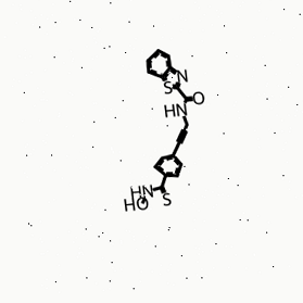 O=C(NCC#Cc1ccc(C(=S)NO)cc1)c1nc2ccccc2s1